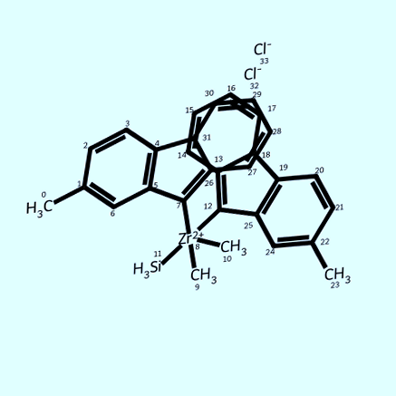 Cc1ccc2c(c1)[C]([Zr+2]([CH3])([CH3])([SiH3])[C]1=C3C=CC=CC3c3ccc(C)cc31)=C1C=CC=CC12.[Cl-].[Cl-]